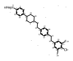 CCCCCCCc1ccc(C2CCC(CCc3ccc(CCc4cc(F)c(Cl)c(F)c4)cc3)CC2)cc1